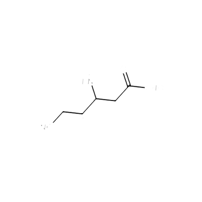 N#CCCC(N)CC(=O)C=O